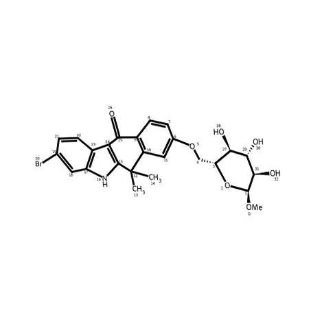 CO[C@H]1O[C@H](COc2ccc3c(c2)C(C)(C)c2[nH]c4cc(Br)ccc4c2C3=O)[C@@H](O)[C@H](O)[C@H]1O